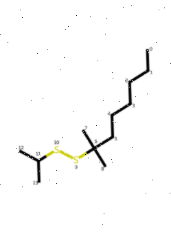 CCCCCCC(C)(C)SSC(C)C